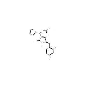 CN1C(=O)c2c(nc(N)nc2-c2ccco2)/C1=C/c1ccc(F)cc1F